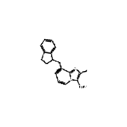 Cc1nc2c(CC3CCc4ccccc43)cccn2c1C=O